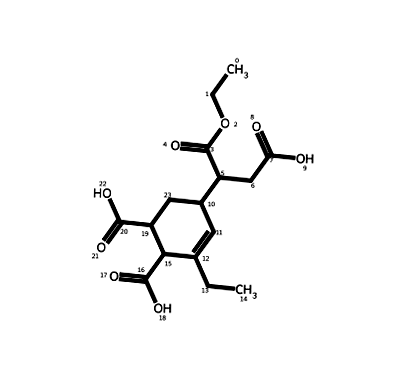 CCOC(=O)C(CC(=O)O)C1C=C(CC)C(C(=O)O)C(C(=O)O)C1